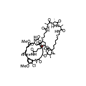 CCCCCCNC(=O)CCCN1C(=O)CC(SCCCC(=O)N[C@@H](C)C(=O)N[C@H](C)C(=O)N[C@@H](C)C(=O)NCSCCCCCC(=O)N(C)[C@@H](C)C(=O)O[C@H]2CC(=O)N(C)c3cc(cc(OC)c3Cl)C/C(C)=C/C=C/[C@@H](OC)[C@@]3(O)C[C@H](OC(=O)N3)[C@@H](C)[C@H](O)[C@@H]2C)C1=O